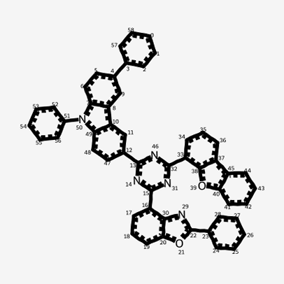 c1ccc(-c2ccc3c(c2)c2cc(-c4nc(-c5cccc6oc(-c7ccccc7)nc56)nc(-c5cccc6c5oc5ccccc56)n4)ccc2n3-c2ccccc2)cc1